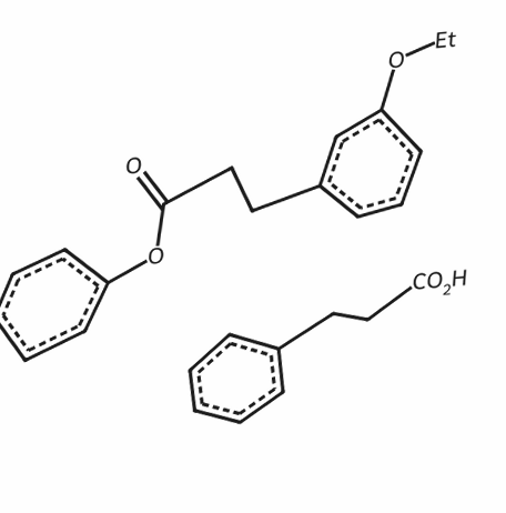 CCOc1cccc(CCC(=O)Oc2ccccc2)c1.O=C(O)CCc1ccccc1